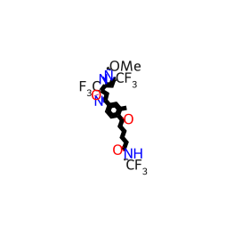 COCn1nc(C2(C(F)(F)F)CC(c3ccc(C(=O)CCCCC(=O)NCC(F)(F)F)c(C)c3)=NO2)cc1C(F)(F)F